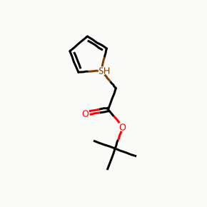 CC(C)(C)OC(=O)C[SH]1C=CC=C1